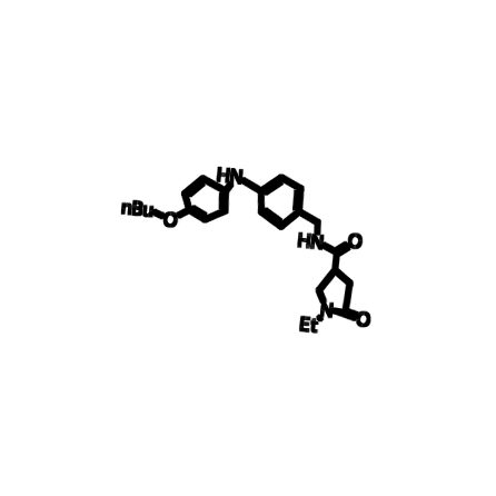 CCCCOc1ccc(Nc2ccc(CNC(=O)C3CC(=O)N(CC)C3)cc2)cc1